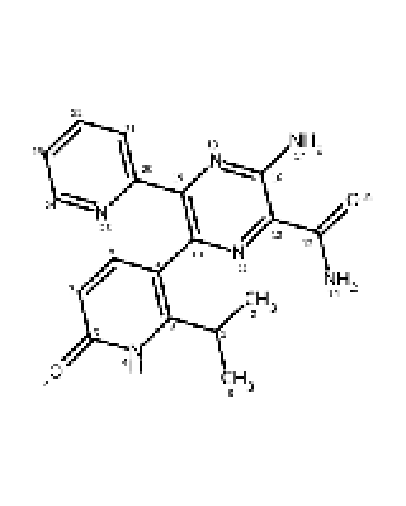 CC(C)c1[nH]c(=O)ccc1-c1nc(C(N)=O)c(N)nc1-c1ccccn1